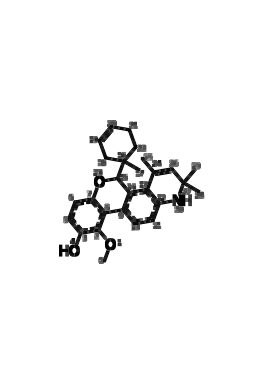 COc1c(O)ccc2c1-c1ccc3c(c1C(C1(C)CC=CCC1)O2)C(C)=CC(C)(C)N3